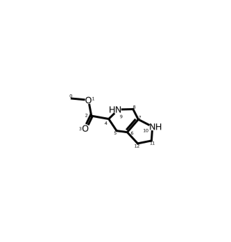 COC(=O)C1CC2=C(CN1)NCC2